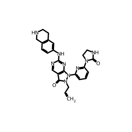 C=CCn1c(=O)c2cnc(Nc3ccc4c(c3)CCNC4)nc2n1-c1cccc(N2CCNC2=O)n1